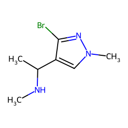 CNC(C)c1cn(C)nc1Br